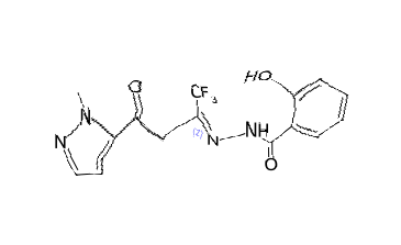 Cn1nccc1C(=O)C/C(=N/NC(=O)c1ccccc1O)C(F)(F)F